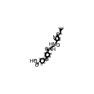 O=C(NCCNC(=O)c1ccc(OCC2CC2)nc1)c1ccc(O[C@H]2CC[C@@H](C(=O)O)CC2)cc1